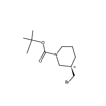 CC(C)(C)OC(=O)N1CCC[C@@H](CBr)C1